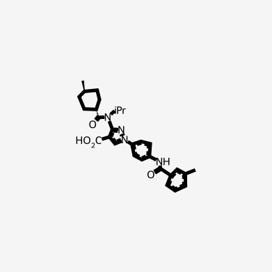 Cc1cccc(C(=O)Nc2ccc(-n3cc(C(=O)O)c(N(C(=O)[C@H]4CC[C@H](C)CC4)C(C)C)n3)cc2)c1